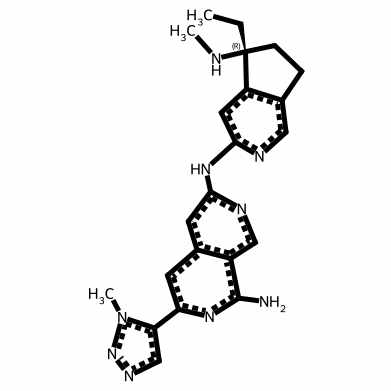 CC[C@@]1(NC)CCc2cnc(Nc3cc4cc(-c5cnnn5C)nc(N)c4cn3)cc21